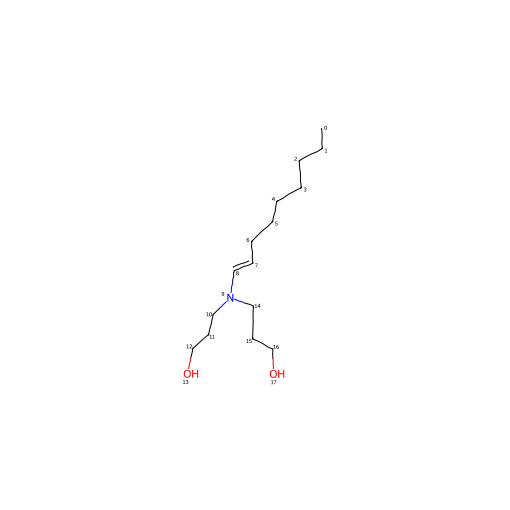 CCCCCCCC=CN(CCCO)CCCO